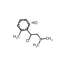 Cc1ccccc1C(Cl)CN(C)C.Cl